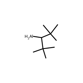 CC(C)(C)[CH]([AlH2])C(C)(C)C